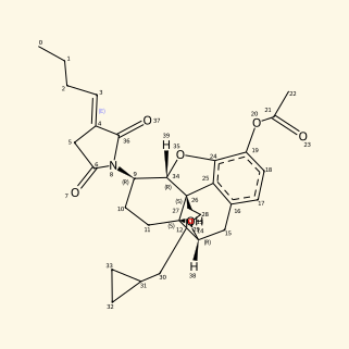 CCC/C=C1\CC(=O)N([C@@H]2CC[C@@]3(O)[C@H]4Cc5ccc(OC(C)=O)c6c5[C@@]3(CCN4CC3CC3)[C@H]2O6)C1=O